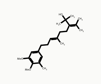 COc1cc(CC/C=C(\C)CCC(=C(C)C)C(C)(C)O)cc(C)c1OC